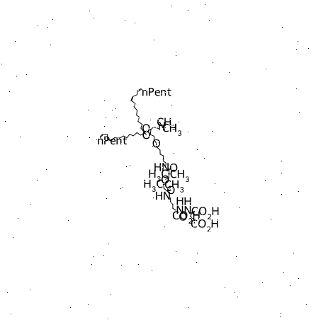 CCCCC/C=C\C/C=C\CCCCCCCCC1(CCCCCCCC/C=C\C/C=C\CCCCC)OC(CCOCCCCCCNC(=O)C(C)(C)COC(C)(C)CC(=O)NCCCC[C@@H](NC(=O)N[C@H](CCC(=O)O)C(=O)O)C(=O)O)C(CCN(C)C)O1